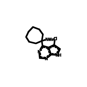 CNC1(c2ncnc3[nH]cc(Cl)c23)CCCCCCC1